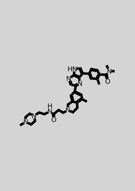 Cc1cc(-c2c[nH]c3ncc(-c4cc(C)c5c(c4)CN(CCC(=O)NCCN4CCN(C)CC4)CC5)nc23)ccc1C(=O)N(C)C